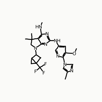 CNc1nc(Nc2cnc(-n3cnc(C)c3)c(OC)c2)nc2c1C(C)(C)CN2C1CC2(C(F)(F)F)CC12